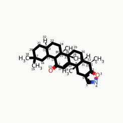 C[C@@H]1c2oncc2C[C@]2(C)C3=CC(=O)C4C5CC(C)(C)CC[C@H]5CC[C@@]4(C)[C@]3(C)CC[C@@H]12